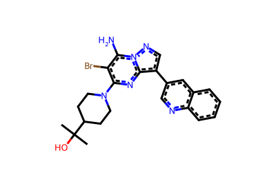 CC(C)(O)C1CCN(c2nc3c(-c4cnc5ccccc5c4)cnn3c(N)c2Br)CC1